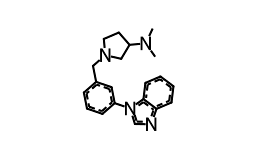 CN(C)C1CCN(Cc2cccc(-n3cnc4ccccc43)c2)C1